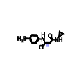 Bc1ccc(N/C(Cl)=C\C(=O)NC2CC2)cc1